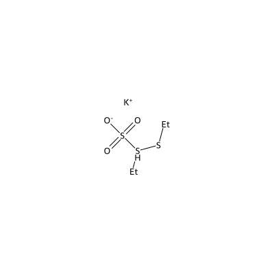 CCS[SH](CC)S(=O)(=O)[O-].[K+]